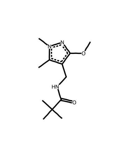 COc1nn(C)c(C)c1CNC(=O)C(C)(C)C